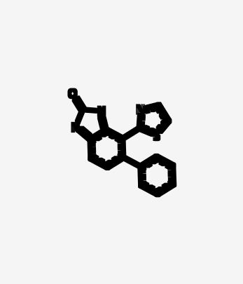 O=C1N=c2ccc(-c3ccccc3)c(-c3nccs3)c2=N1